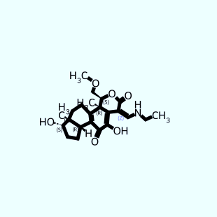 CCN/C=C1\C(=O)O[C@H](COC)[C@]2(C)C3=C(C(=O)C(O)=C12)[C@@H]1CC[C@H](O)[C@@]1(C)C[C]3